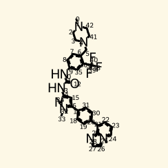 CN1CCN(Cc2ccc(NC(=O)Nc3cc(-c4ccc(-c5cccn6ccnc56)cc4)n(C)n3)cc2C(F)(F)F)CC1